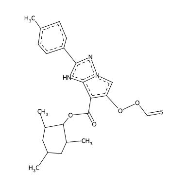 Cc1ccc(-c2nn3cc(OOC=S)c(C(=O)OC4C(C)CC(C)CC4C)c3[nH]2)cc1